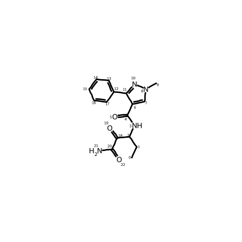 CCC(NC(=O)c1cn(C)nc1-c1ccccc1)C(=O)C(N)=O